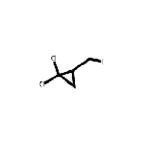 ClC1(Cl)CC1CI